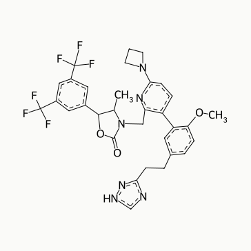 COc1ccc(CCc2nc[nH]n2)cc1-c1ccc(N2CCC2)nc1CN1C(=O)OC(c2cc(C(F)(F)F)cc(C(F)(F)F)c2)C1C